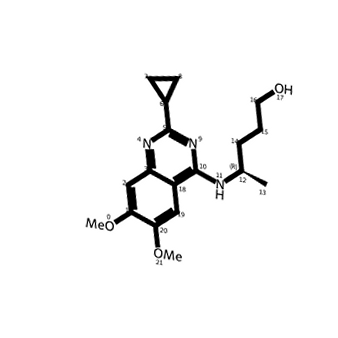 COc1cc2nc(C3CC3)nc(N[C@H](C)CCCO)c2cc1OC